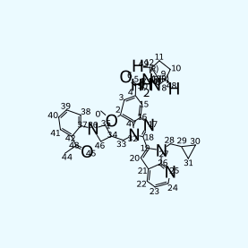 COc1cc(C(=O)N2C[C@H]3CC[C@@H]2[C@@H]3N)cc2nc(-c3cc4cccnc4n3CC3CC3)n(CC3CN(c4ccccc4C(C)=O)C3)c12